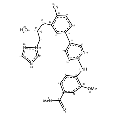 CNC(=O)c1ccc(Nc2ncc(-c3ccc(C#N)c(O[C@@H](C)Cn4cncn4)c3)cn2)c(OC)c1